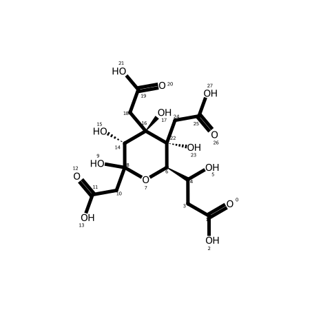 O=C(O)CC(O)[C@H]1OC(O)(CC(=O)O)[C@H](O)[C@](O)(CC(=O)O)[C@@]1(O)CC(=O)O